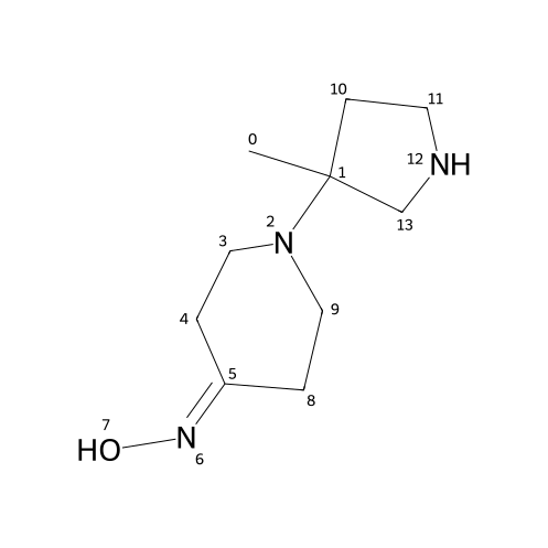 CC1(N2CCC(=NO)CC2)CCNC1